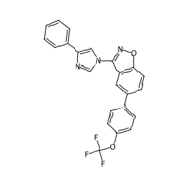 FC(F)(F)Oc1ccc(-c2ccc3onc(-n4cnc(-c5ccccc5)c4)c3c2)cc1